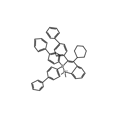 C[N+]1(C)c2ccccc2C(C2CCCCC2)=C(c2ccc(-c3ccccc3)cc2)[B-]1(c1ccc(-c2ccccc2)cc1)c1ccc(-c2ccccc2)cc1